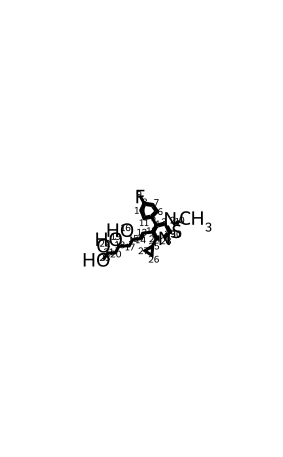 Cc1nc2c(-c3ccc(F)cc3)c(/C=C/[C@@H](O)C[C@@H](O)CC(=O)O)c(C3CC3)nc2s1